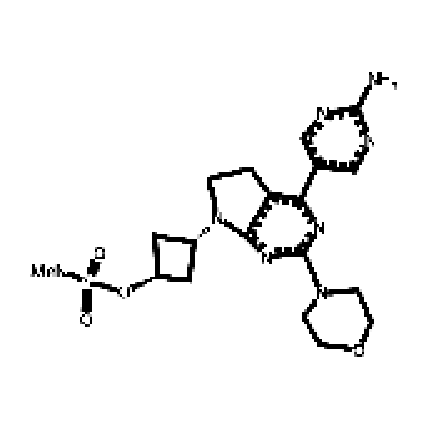 CNS(=O)(=O)O[C@H]1C[C@H](N2CCc3c(-c4cnc(N)nc4)nc(N4CCOCC4)nc32)C1